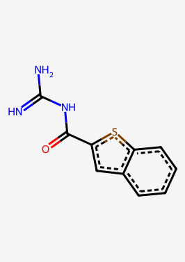 N=C(N)NC(=O)c1cc2ccccc2s1